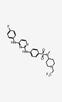 CN(C1CCN(CC(F)(F)F)CC1)S(=O)(=O)c1ccc(Nc2nccc(Nc3ccc(F)cc3)n2)cc1